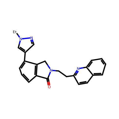 CCn1cc(-c2cccc3c2CN(CCc2ccc4ccccc4n2)C3=O)cn1